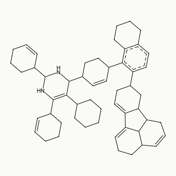 C1=CC(C2=C(C3CCCCC3)C(C3C=CC(c4c(C5CC=C6C7=CCCC8C=CCC(C6C5)C78)ccc5c4CCCC5)CC3)NC(C3C=CCCC3)N2)CCC1